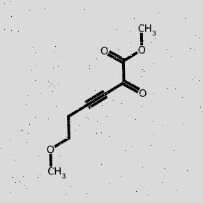 COCCC#CC(=O)C(=O)OC